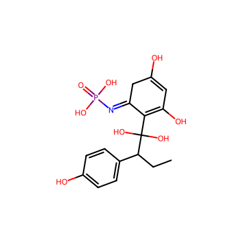 CCC(c1ccc(O)cc1)C(O)(O)C1=C(O)C=C(O)CC1=NP(=O)(O)O